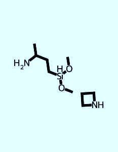 C1CNC1.CO[SiH](CCC(C)N)OC